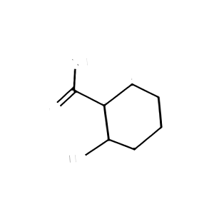 NC(=O)C1CCCCC1S